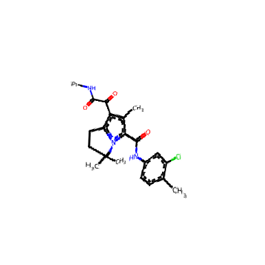 Cc1ccc(NC(=O)c2c(C)c(C(=O)C(=O)NC(C)C)c3n2C(C)(C)CC3)cc1Cl